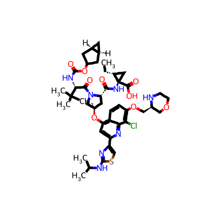 CC[C@@H]1C[C@]1(NC(=O)[C@@H]1C[C@@H](Oc2cc(-c3csc(NC(C)C)n3)nc3c(Cl)c(OC[C@@H]4COCCN4)ccc23)CN1C(=O)[C@@H](NC(=O)OC1C[C@@H]2C[C@@H]2C1)C(C)(C)C)C(=O)O